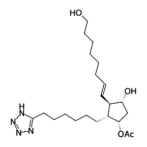 CC(=O)O[C@H]1C[C@@H](O)[C@H](C=CCCCCCCO)[C@H]1CCCCCCc1nnn[nH]1